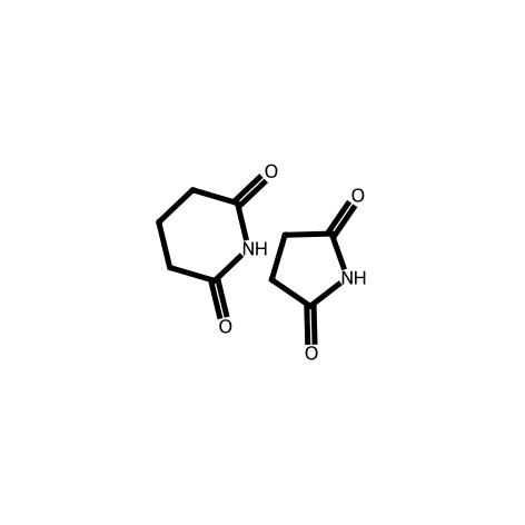 O=C1CCC(=O)N1.O=C1CCCC(=O)N1